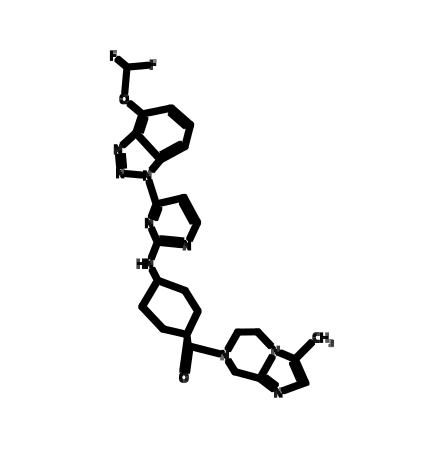 Cc1cnc2n1CCN(C(=O)C1CCC(Nc3nccc(-n4nnc5c(OC(F)F)cccc54)n3)CC1)C2